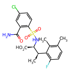 Cc1ccc(F)c([C@@H](C)[C@H](NS(=O)(=O)c2ccc(Cl)cc2C(N)=O)C(=O)O)c1C